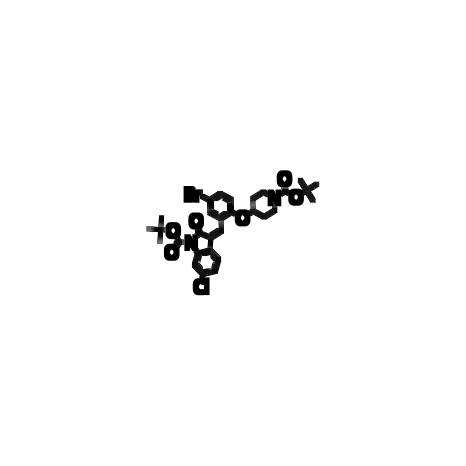 CC(C)(C)OC(=O)N1CCC(Oc2ccc(Br)cc2C=C2C(=O)N(C(=O)OC(C)(C)C)c3cc(Cl)ccc32)CC1